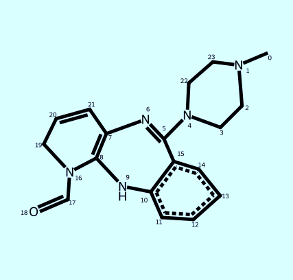 CN1CCN(C2=NC3=C(Nc4ccccc42)N(C=O)CC=C3)CC1